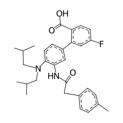 Cc1ccc(CC(=O)Nc2cc(-c3cc(F)ccc3C(=O)O)ccc2N(CC(C)C)CC(C)C)cc1